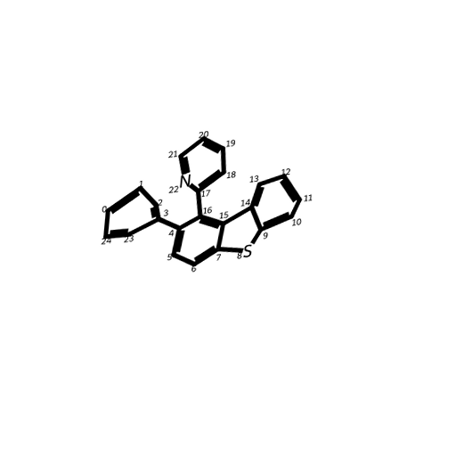 c1ccc(-c2ccc3sc4ccccc4c3c2-c2ccccn2)cc1